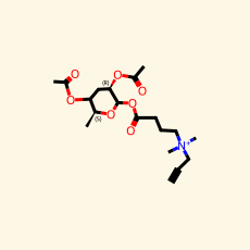 C#CC[N+](C)(C)CCCC(=O)OC1O[C@@H](C)C(OC(C)=O)C[C@H]1OC(C)=O